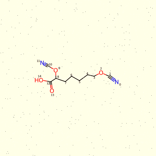 N#COCCCCCC(OC#N)C(=O)O